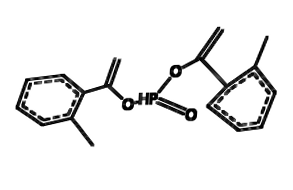 C=C(O[PH](=O)OC(=C)c1ccccc1C)c1ccccc1C